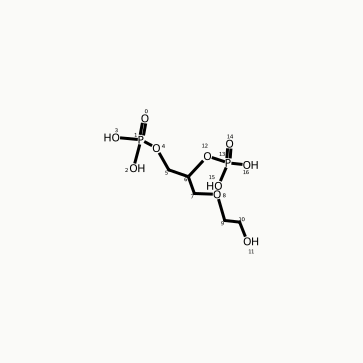 O=P(O)(O)OCC(COCCO)OP(=O)(O)O